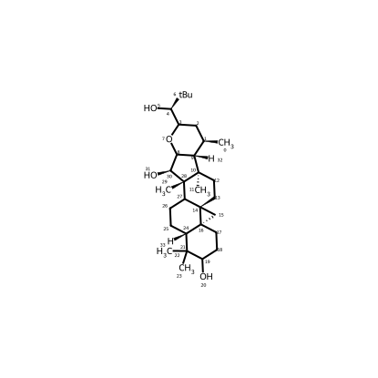 C[C@@H]1CC([C@@H](O)C(C)(C)C)OC2[C@H]1[C@@]1(C)CC[C@@]34C[C@@]35CCC(O)C(C)(C)[C@@H]5CCC4[C@]1(C)[C@H]2O